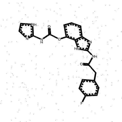 O=C(Cc1ccc(F)cc1)Nc1nc2cccc(OC(=O)Nc3ncc[nH]3)c2[nH]1